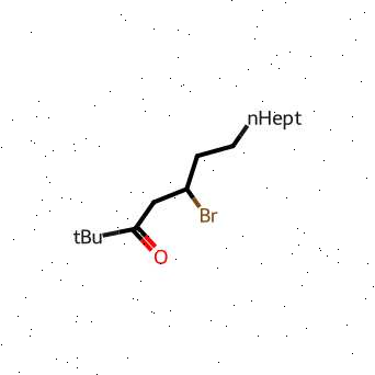 CCCCCCCCCC(Br)CC(=O)C(C)(C)C